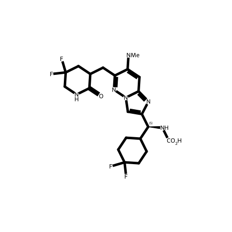 CNc1cc2nc([C@@H](NC(=O)O)C3CCC(F)(F)CC3)cn2nc1CC1CC(F)(F)CNC1=O